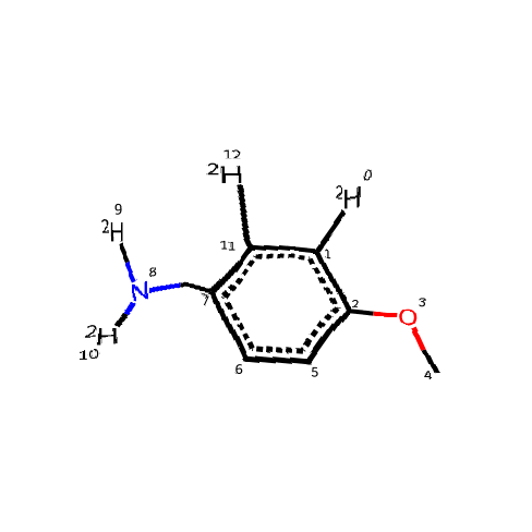 [2H]c1c(OC)ccc(N([2H])[2H])c1[2H]